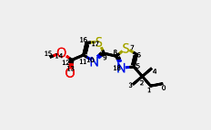 CCC(C)(C)c1csc(-c2nc(C(=O)OC)cs2)n1